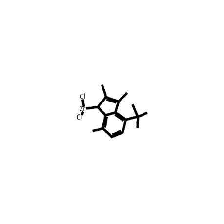 CC1=C(C)[CH]([Zr]([Cl])[Cl])c2c(C)ccc(C(C)(C)C)c21